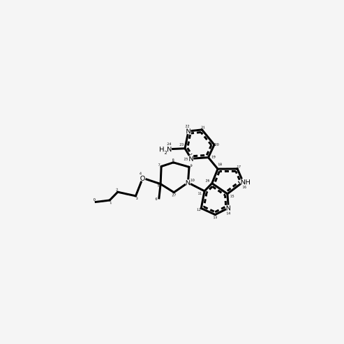 CCCCOC1(C)CCCN(c2ccnc3[nH]cc(-c4ccnc(N)n4)c23)C1